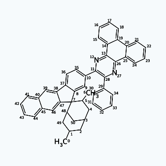 CC1CC2CC(C)C3(c4cc(-c5nc6c7ccccc7c7ccccc7c6nc5-c5ccccc5)ccc4-c4cc5ccccc5cc43)C(C1)C2